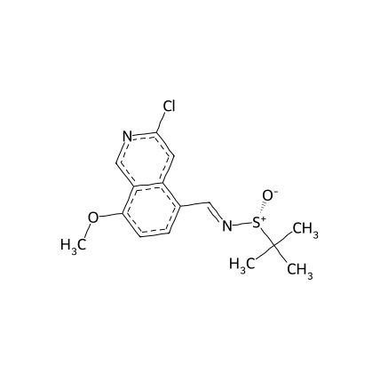 COc1ccc(/C=N/[S@+]([O-])C(C)(C)C)c2cc(Cl)ncc12